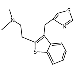 CN(C)CCc1sc2ccccc2c1Cc1cscn1